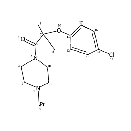 CC(C)N1CCN(C(=O)C(C)(C)Oc2ccc(Cl)cc2)CC1